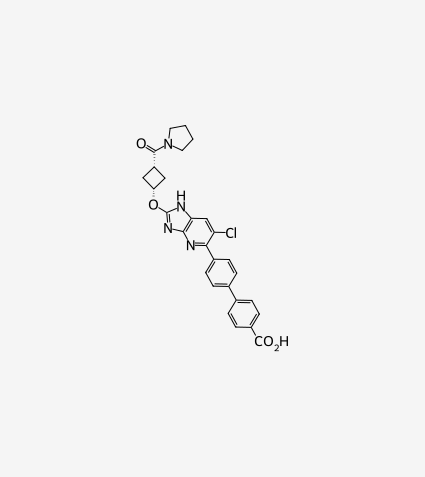 O=C(O)c1ccc(-c2ccc(-c3nc4nc(O[C@H]5C[C@@H](C(=O)N6CCCC6)C5)[nH]c4cc3Cl)cc2)cc1